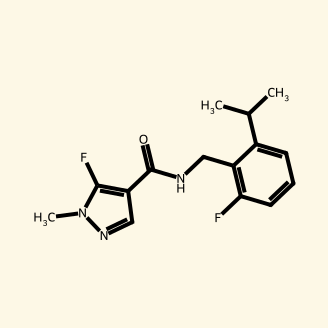 CC(C)c1cccc(F)c1CNC(=O)c1cnn(C)c1F